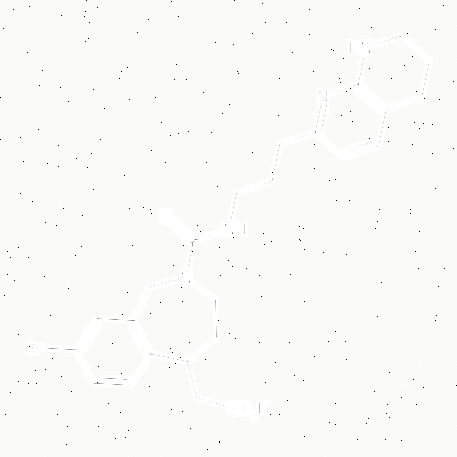 O=C(O)CC1CCN(C(=O)NCCCc2ccc3c(n2)NCCC3)Cc2cc(Br)ccc21